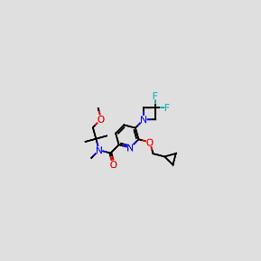 COCC(C)(C)N(C)C(=O)c1ccc(N2CC(F)(F)C2)c(OCC2CC2)n1